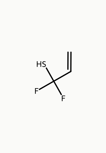 C=CC(F)(F)S